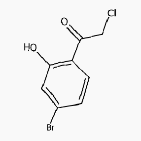 O=C(CCl)c1ccc(Br)cc1O